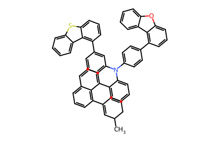 CC1C=C(c2cccc3cccc(-c4ccccc4N(c4ccc(-c5cccc6oc7ccccc7c56)cc4)c4cccc(-c5cccc6sc7ccccc7c56)c4)c23)C=CC1